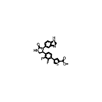 COC(=O)c1cc(-c2ccc(C3CNC(=O)N3c3ccc4[nH]cnc4c3)c(F)c2F)cs1